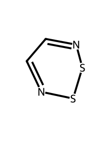 C1=NSSN=C1